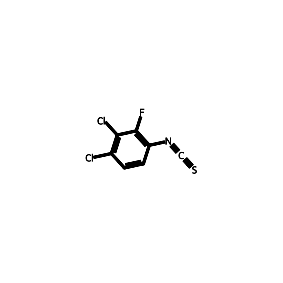 Fc1c(N=C=S)ccc(Cl)c1Cl